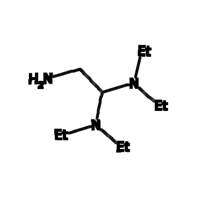 CCN(CC)C(CN)N(CC)CC